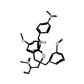 CCC(CC(Cc1cccc(OC)c1)(Cc1cccc(OC)c1)OC(=O)NCc1ccc(N(C)C)cc1)N(C)C